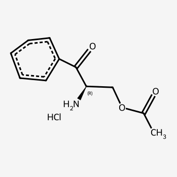 CC(=O)OC[C@@H](N)C(=O)c1ccccc1.Cl